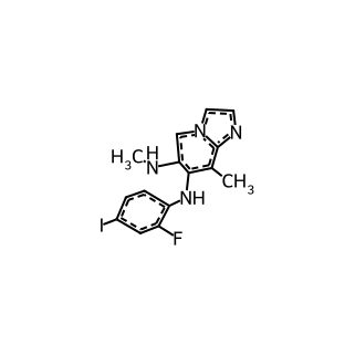 CNc1cn2ccnc2c(C)c1Nc1ccc(I)cc1F